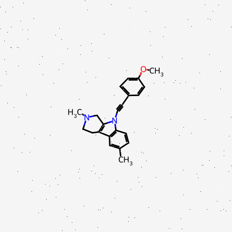 COc1ccc(C#Cn2c3c(c4cc(C)ccc42)CCN(C)C3)cc1